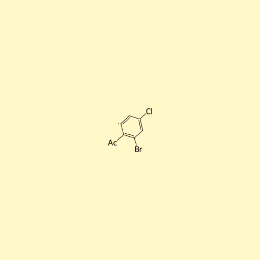 CC(=O)c1[c]cc(Cl)cc1Br